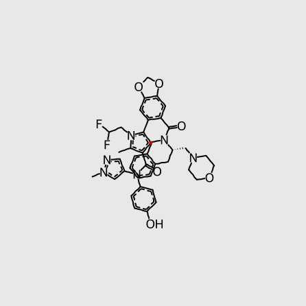 Cc1c(C(=O)N(c2ccc(O)cc2)c2cnn(C)c2)cc(-c2cc3c(cc2C(=O)N2Cc4ccccc4C[C@H]2CN2CCOCC2)OCO3)n1CC(F)F